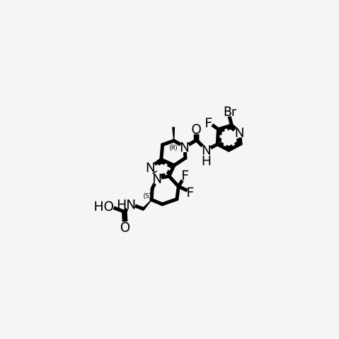 C[C@@H]1Cc2nn3c(c2CN1C(=O)Nc1ccnc(Br)c1F)C(F)(F)CC[C@@H](CNC(=O)O)C3